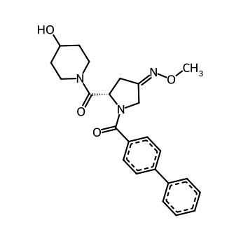 CON=C1C[C@@H](C(=O)N2CCC(O)CC2)N(C(=O)c2ccc(-c3ccccc3)cc2)C1